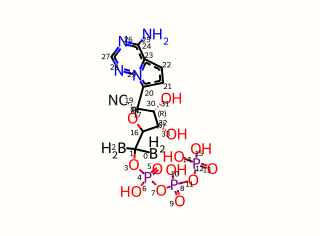 BC(B)(OP(=O)(O)OP(=O)(O)OP(=O)(O)O)C1O[C@@](C#N)(c2ccc3c(N)ncnn23)[C@H](O)[C@@H]1O